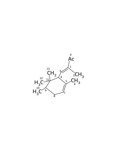 CC(=O)C(C)=CC1C(C)=CCC(C)C1(C)C